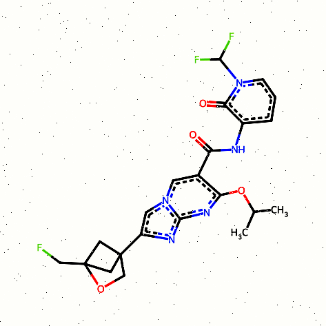 CC(C)Oc1nc2nc(C34COC(CF)(C3)C4)cn2cc1C(=O)Nc1cccn(C(F)F)c1=O